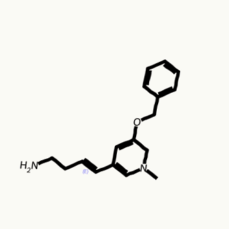 CN1C=C(/C=C/CCN)C=C(OCc2ccccc2)C1